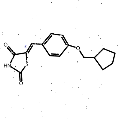 O=C1NC(=O)/C(=C/c2ccc(OCC3CCCC3)cc2)S1